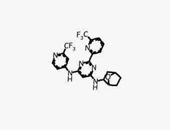 FC(F)(F)c1cc(Nc2cc(NC3CC4CCC3O4)nc(-c3cccc(C(F)(F)F)n3)n2)ccn1